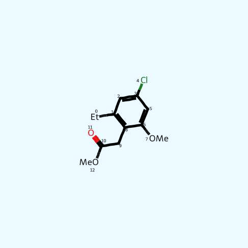 CCc1cc(Cl)cc(OC)c1CC(=O)OC